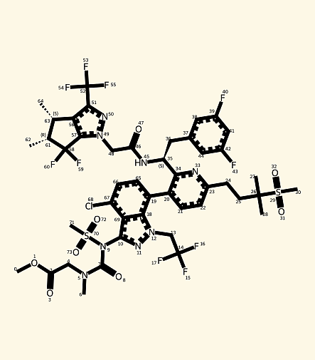 COC(=O)CN(C)C(=O)N(c1nn(CC(F)(F)F)c2c(-c3ccc(CCC(C)(C)S(C)(=O)=O)nc3[C@H](Cc3cc(F)cc(F)c3)NC(=O)Cn3nc(C(F)(F)F)c4c3C(F)(F)[C@H](C)[C@@H]4C)ccc(Cl)c12)S(C)(=O)=O